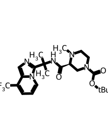 CN1CCN(C(=O)OC(C)(C)C)C[C@H]1C(=O)NC(C)(C)c1ncc2c(C(F)(F)F)cccn12